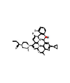 C=CC(=O)N1CCN(c2nc(=O)n(-c3c(C(C)C)nc(C4CC4)nc3C(C)C)c3nc(-c4c(O)cccc4F)c(F)cc23)[C@@H](C)C1